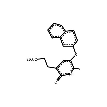 CCOC(=O)CCc1cc(Sc2ccc3ccccc3c2)c(C)[nH]c1=O